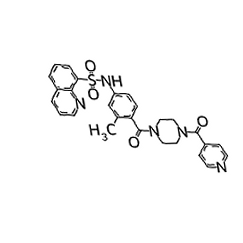 Cc1cc(NS(=O)(=O)c2cccc3cccnc23)ccc1C(=O)N1CCN(C(=O)c2ccncc2)CC1